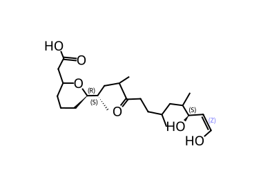 CC(CCC(=O)C(C)C[C@H](C)[C@H]1CCCC(CC(=O)O)O1)CC(C)[C@H](O)/C=C\O